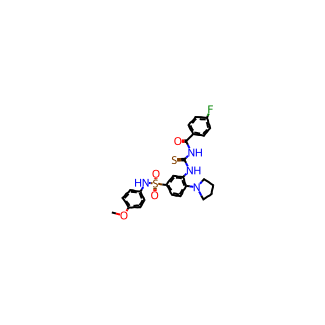 COc1ccc(NS(=O)(=O)c2ccc(N3CCCC3)c(NC(=S)NC(=O)c3ccc(F)cc3)c2)cc1